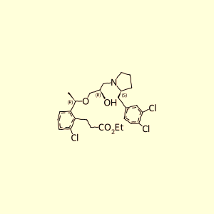 CCOC(=O)CCc1c(Cl)cccc1[C@@H](C)OC[C@H](O)CN1CCC[C@H]1Cc1ccc(Cl)c(Cl)c1